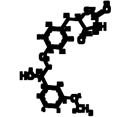 COc1cccc([C@@H](O)COc2ccc(CC3SC(=O)NC3=O)cc2)c1